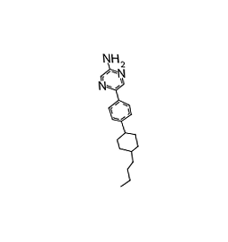 CCCCC1CCC(c2ccc(-c3cnc(N)cn3)cc2)CC1